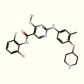 CCOc1nc(Nc2ccc(OC3CCNCC3)c(C)c2)ncc1C(=O)Nc1c(Cl)cccc1Br